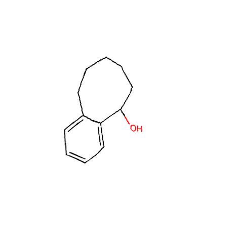 OC1CCCCCc2ccccc21